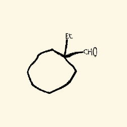 CCC1(C=O)CCCCCCC1